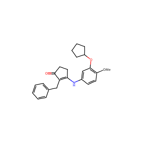 COc1ccc(NC2=C(Cc3ccccc3)C(=O)CC2)cc1OC1CCCC1